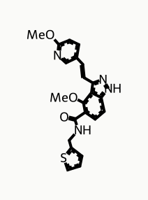 COc1ccc(/C=C/c2n[nH]c3ccc(C(=O)NCc4cccs4)c(OC)c23)cn1